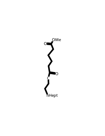 CCCCCCCCCCC(=O)CCCCC(=O)OC